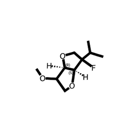 COC1CO[C@H]2[C@@H]1OCC2(F)C(C)C